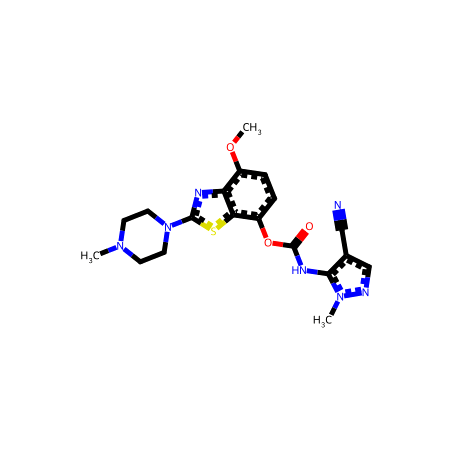 COc1ccc(OC(=O)Nc2c(C#N)cnn2C)c2sc(N3CCN(C)CC3)nc12